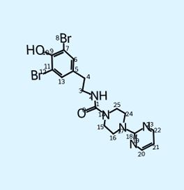 O=C(NCCc1cc(Br)c(O)c(Br)c1)N1CCN(c2ncccn2)CC1